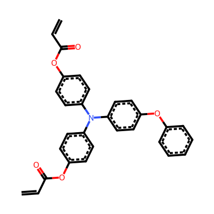 C=CC(=O)Oc1ccc(N(c2ccc(OC(=O)C=C)cc2)c2ccc(Oc3ccccc3)cc2)cc1